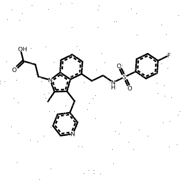 Cc1c(Cc2cccnc2)c2c(CCNS(=O)(=O)c3ccc(F)cc3)cccc2n1CCC(=O)O